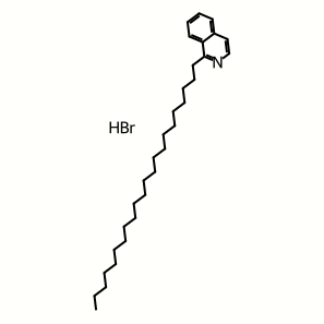 Br.CCCCCCCCCCCCCCCCCCCCCCc1nccc2ccccc12